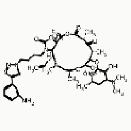 C=CC[C@@H]1[C@H]2N(CCCCn3cc(-c4cccc(N)c4)nn3)C(=O)O[C@]2(C)[C@@H](CC)OC(=O)[C@H](C)C(=O)[C@H](C)[C@@H](O[C@@H]2O[C@H](C)CC(N(C)C)C2O)[C@](C)(OC)C[C@@H](C)CN1C